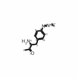 CC(=O)C(N)Cc1ccc(N=[N+]=[N-])cc1